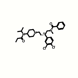 CCC(=O)N(C(C)C)C1CCN(CC[C@H](CN(C)C(=O)c2ccccc2)c2ccc(Cl)c(Cl)c2)CC1